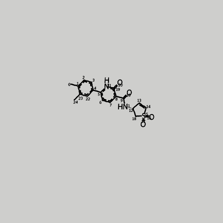 Cc1ccc(-c2ccc(C(=O)N[C@@H]3C=CS(=O)(=O)C3)c(=O)[nH]2)cc1C